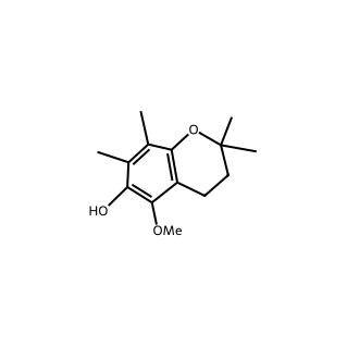 COc1c(O)c(C)c(C)c2c1CCC(C)(C)O2